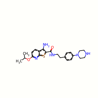 CC(C)Oc1ccc2c(N)c(C(=O)NCCc3ccc(N4CCNCC4)cc3)sc2n1